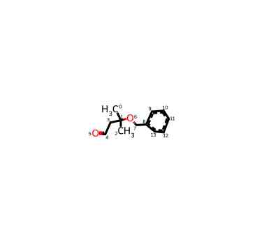 CC(C)(CC=O)OCc1ccccc1